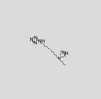 CCCCN(CCCCCCCCCCCNc1ncncn1)C1CC(C)(C)NC(C)(C)C1